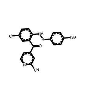 CC(C)(C)c1ccc(SNc2ccc(Cl)cc2C(=O)c2ccnc(C#N)c2)cc1